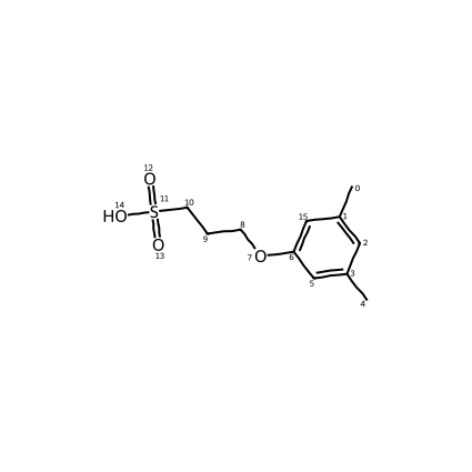 Cc1cc(C)cc(OCCCS(=O)(=O)O)c1